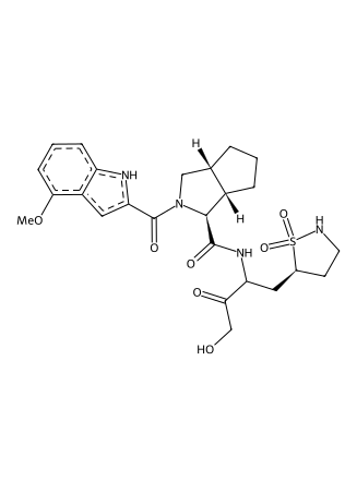 COc1cccc2[nH]c(C(=O)N3C[C@@H]4CCC[C@@H]4[C@H]3C(=O)NC(C[C@@H]3CCNS3(=O)=O)C(=O)CO)cc12